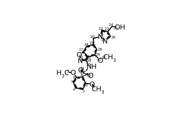 COc1cccc(OC)c1S(=O)(=O)Nc1noc2cc(Cn3cc(CO)cn3)cc(OC)c12